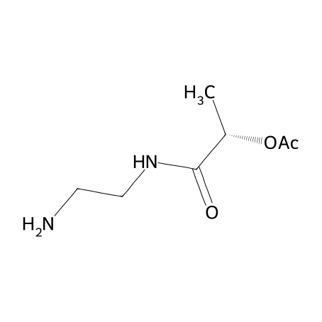 CC(=O)O[C@@H](C)C(=O)NCCN